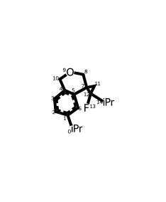 CC(C)c1ccc2c(c1)C1(COC2)CC1(F)C(C)C